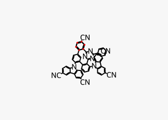 N#Cc1ccc(-c2ccc(-n3c4ccc(C#N)cc4c4cc(C#N)ccc43)c(-c3cccc(-n4c5ccc(C#N)cc5c5cc(C#N)ccc54)c3-c3nc(-c4ccccc4)nc(-c4ccccc4)n3)c2)cc1